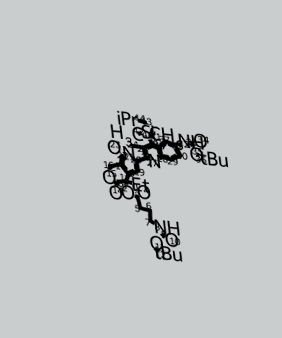 CCC1(OC(=O)CCCNC(=O)OC(C)(C)C)C(=O)OCc2c1cc1n(c2=O)Cc2c-1nc1ccc(NC(=O)OC(C)(C)C)cc1c2[Si](C)(C)CC(C)C